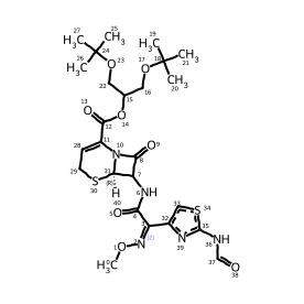 CO/N=C(\C(=O)NC1C(=O)N2C(C(=O)OC(COC(C)(C)C)COC(C)(C)C)=CCS[C@H]12)c1csc(NC=O)n1